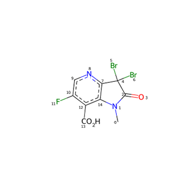 CN1C(=O)C(Br)(Br)c2ncc(F)c(C(=O)O)c21